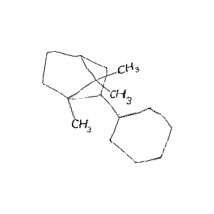 CC1(C)C2CCC1(C)C([C]1CCCCC1)C2